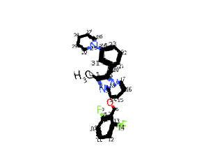 Cc1nc2c(OCc3c(F)cccc3F)cccn2c1-c1cccc(N2CCCCC2)c1